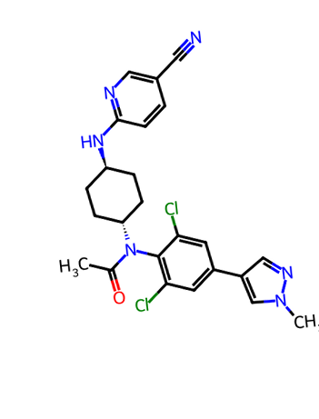 CC(=O)N(c1c(Cl)cc(-c2cnn(C)c2)cc1Cl)[C@H]1CC[C@H](Nc2ccc(C#N)cn2)CC1